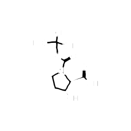 CC(C)(C)OC(=O)N1CC[C@@H](O)[C@@H]1C(=O)O